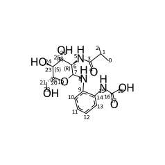 CC(C)C(=O)N[C@H]1C(Nc2ccccc2NC(=O)O)O[C@H](CO)[C@@H](O)[C@@H]1O